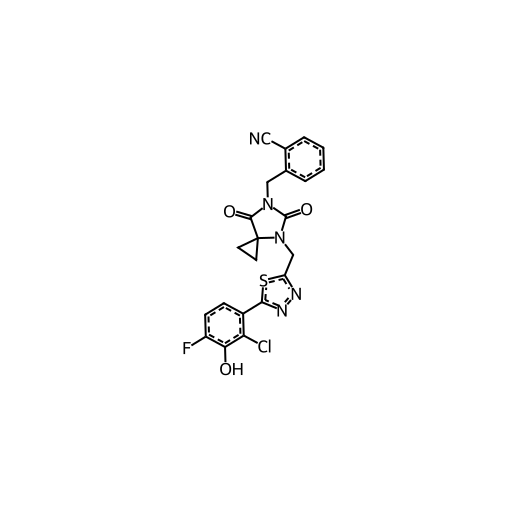 N#Cc1ccccc1CN1C(=O)N(Cc2nnc(-c3ccc(F)c(O)c3Cl)s2)C2(CC2)C1=O